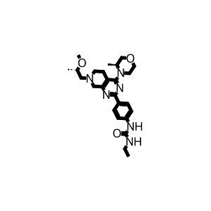 CCNC(=O)Nc1ccc(-c2nc3c(c(N4CCOC[C@@H]4C)n2)CCN(C[C@H](C)OC)C3)cc1